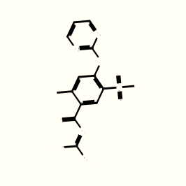 Cc1cc(Sc2ncccn2)c(S(C)(=O)=O)cc1C(=O)N=C(N)N